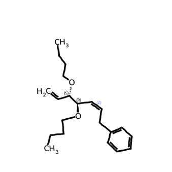 C=C[C@H](OCCCC)[C@@H](/C=C\Cc1ccccc1)OCCCC